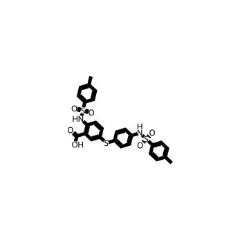 Cc1ccc(S(=O)(=O)Nc2ccc(Sc3ccc(NS(=O)(=O)c4ccc(C)cc4)c(C(=O)O)c3)cc2)cc1